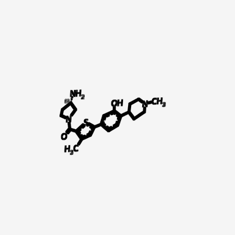 Cc1cc(-c2ccc(C3CCN(C)CC3)c(O)c2)sc1C(=O)N1CC[C@H](N)C1